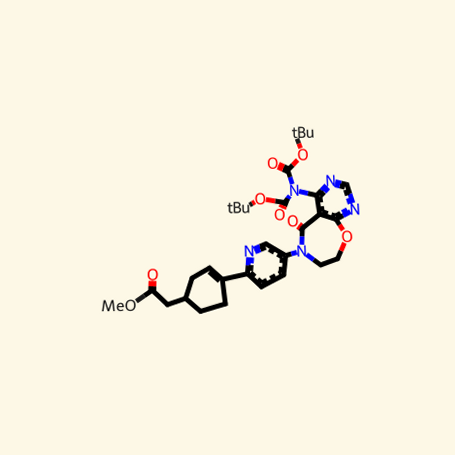 COC(=O)CC1CC=C(c2ccc(N3CCOc4ncnc(N(C(=O)OC(C)(C)C)C(=O)OC(C)(C)C)c4C3=O)cn2)CC1